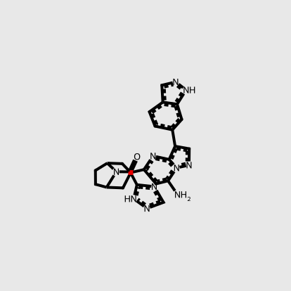 Nc1cc(C2CC3CCC(C2)N3C(=O)c2ncn[nH]2)nc2c(-c3ccc4cn[nH]c4c3)cnn12